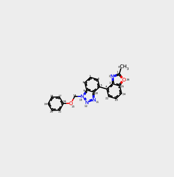 Cc1nc2c(-c3cccc4c3nnn4COc3ccccc3)cccc2o1